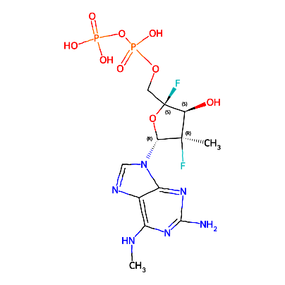 CNc1nc(N)nc2c1ncn2[C@@H]1O[C@](F)(COP(=O)(O)OP(=O)(O)O)[C@@H](O)[C@@]1(C)F